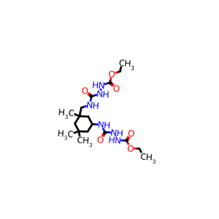 CCOC(=O)NNC(=O)NCC1(C)CC(NC(=O)NNC(=O)OCC)CC(C)(C)C1